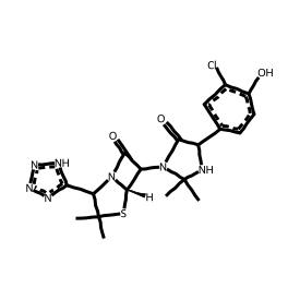 CC1(C)S[C@H]2C(N3C(=O)C(c4ccc(O)c(Cl)c4)NC3(C)C)C(=O)N2C1c1nnn[nH]1